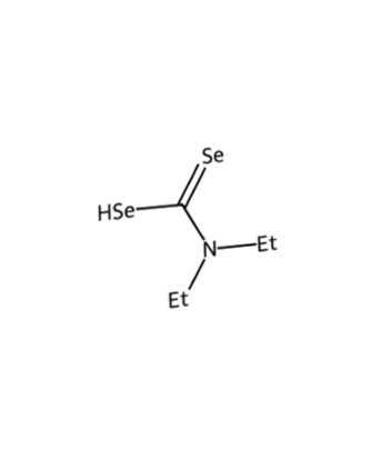 CCN(CC)C(=[Se])[SeH]